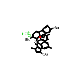 Cl.Cl.[CH2]=[Zr]([C]1=CC(C(C)(C)C)=CC1C)([c]1ccc(C)cc1)([c]1ccc(C)cc1)[c]1c(C(C)(C)C)ccc2c1Cc1cc(C(C)(C)C)ccc1-2